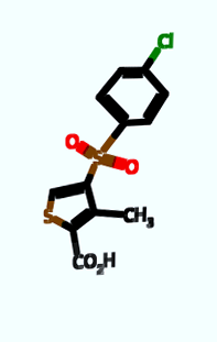 Cc1c(S(=O)(=O)c2ccc(Cl)cc2)csc1C(=O)O